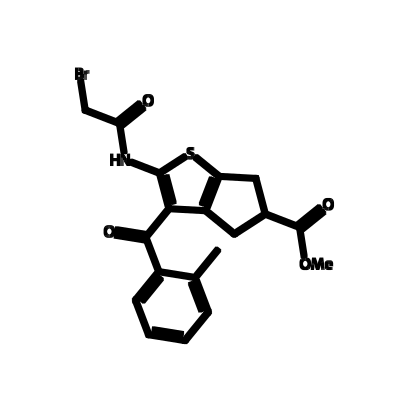 COC(=O)C1Cc2sc(NC(=O)CBr)c(C(=O)c3ccccc3C)c2C1